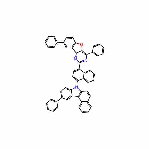 c1ccc(-c2ccc3oc4c(-c5ccccc5)nc(-c5ccc(-n6c7ccc(-c8ccccc8)cc7c7c8ccccc8ccc76)c6ccccc56)nc4c3c2)cc1